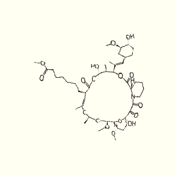 COC(=O)CCCCCC[C@@H]1/C=C(\C)C[C@H](C)C[C@H](OC)[C@H]2O[C@@](O)(C(=O)C(=O)N3CCCC[C@H]3C(=O)O[C@H](/C(C)=C/[C@@H]3CC[C@@H](O)[C@H](OC)C3)[C@H](C)[C@@H](O)CC1=O)[C@H](C)C[C@@H]2OC